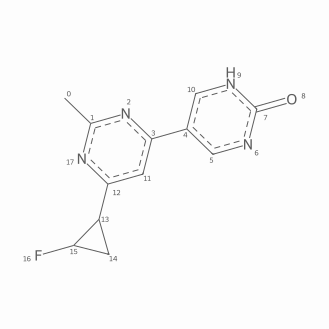 Cc1nc(-c2cnc(=O)[nH]c2)cc(C2CC2F)n1